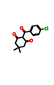 CC1(C)CC(=O)C(C(=O)c2ccc(Cl)cc2)C(=O)C1